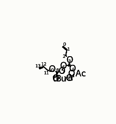 C=CCOC(=O)OOC(=O)OCC=C.CC(=O)OOC(C)(C)C